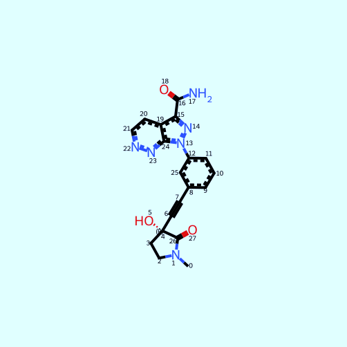 CN1CC[C@@](O)(C#Cc2cccc(-n3nc(C(N)=O)c4ccnnc43)c2)C1=O